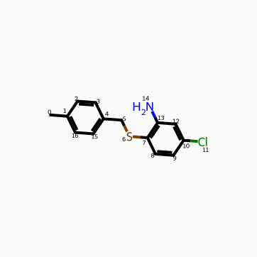 Cc1ccc(CSc2ccc(Cl)cc2N)cc1